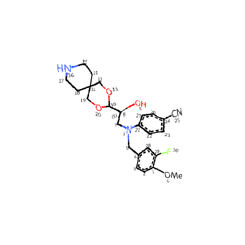 COc1ccc(CN(C[C@H](O)C2OCC3(CCNCC3)CO2)c2ccc(C#N)cc2)cc1F